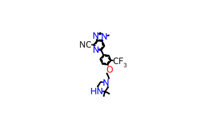 Cn1cnc2c(C#N)nc(-c3ccc(OCCN4CCNC(C)(C)C4)c(C(F)(F)F)c3)cc21